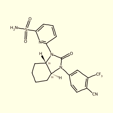 N#Cc1ccc(N2C(=O)N(c3cccc(S(N)(=O)=O)n3)[C@H]3CCCC[C@@H]32)cc1C(F)(F)F